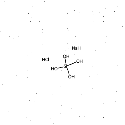 Cl.O[Si](O)(O)O.[NaH]